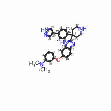 CN(C)c1cccc(Oc2ccc3nc(C4(c5ccc(-c6cn[nH]c6)cc5)CCNCC4)[nH]c3c2)c1